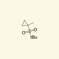 CC(C)(C)S(=O)(=O)C1(C)CC1